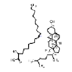 CC(C)CCCC(C)[C@H]1CC[C@H]2[C@@H]3CC=C4C[C@@H](O)CC[C@]4(C)[C@H]3CC[C@]12C.CCCCCCCC/C=C\CCCCCCC(O)C(=O)O